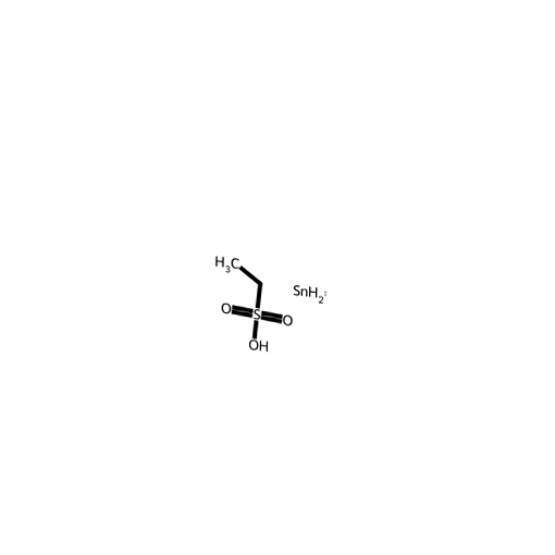 CCS(=O)(=O)O.[SnH2]